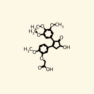 COc1ccc(C2=C(c3cc(OC)c(OC)c(OC)c3)C(=O)C(O)C2)cc1OCC(=O)O